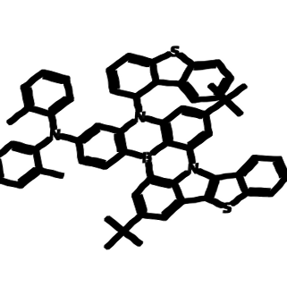 Cc1ccccc1N(c1ccc2c(c1)N(C1C=CC=C3Sc4ccccc4C31)c1cc(C(C)(C)C)cc3c1B2c1cc(C(C)(C)C)cc2c4sc5ccccc5c4n-3c12)c1ccccc1C